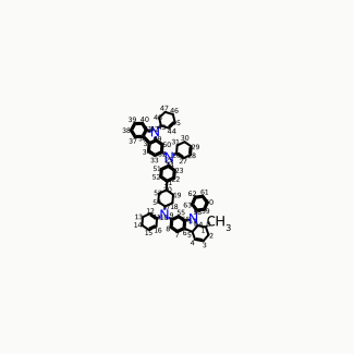 CC1CC=CC2c3ccc(N(C4=CCCC=C4)C4CCC(c5ccc(N(C6=CC=CCC6)c6ccc7c8ccccc8n(C8C=CCCC8)c7c6)cc5)CC4)cc3N(c3ccccc3)C12